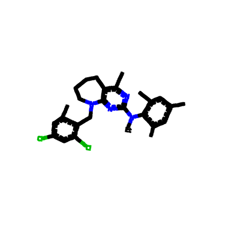 CCN(c1nc(C)c2c(n1)N(Cc1c(C)cc(Cl)cc1Cl)CCCC2)c1c(C)cc(C)cc1C